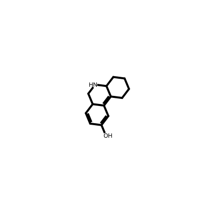 OC1=CC2=C3CCCCC3NCC2C=C1